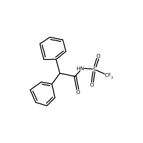 O=C(NS(=O)(=O)C(F)(F)F)C(c1ccccc1)c1ccccc1